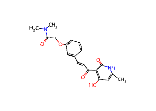 Cc1cc(O)c(C(=O)/C=C/c2cccc(OCC(=O)N(C)C)c2)c(=O)[nH]1